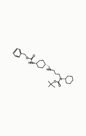 CC(C)(C)OC(=O)N(CCCNC[C@H]1CC[C@H](NC(=O)OCc2ccccc2)CC1)C1CCCCC1